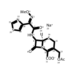 CO/N=C(/C(=O)NC1C(=O)N2C(C(=O)[O-])=C(COC(C)=O)CS[C@H]12)c1cscn1.[Na+]